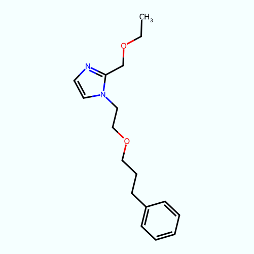 CCOCc1nccn1CCOCCCc1ccccc1